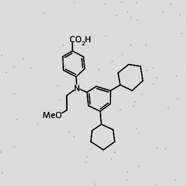 COCCN(c1ccc(C(=O)O)cc1)c1cc(C2CCCCC2)cc(C2CCCCC2)c1